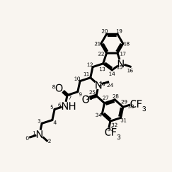 CN(C)CCCNC(=O)CCC(Cc1cn(C)c2ccccc12)N(C)C(=O)c1cc(C(F)(F)F)cc(C(F)(F)F)c1